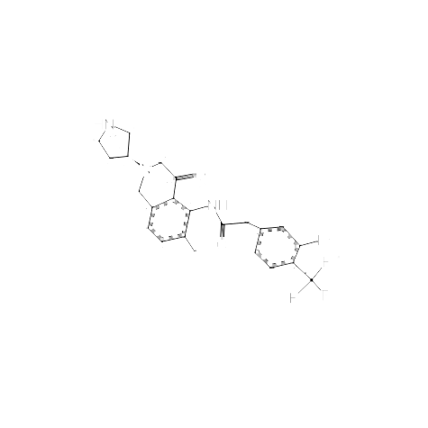 Cc1ccc2c(c1NC(=O)Cc1ccc(C(F)(F)F)c(F)c1)C(=O)CN([C@H]1CCNC1)C2